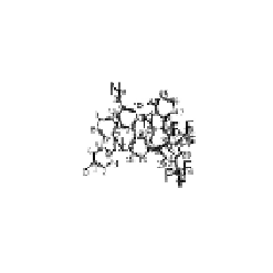 Cc1ccc2c(c1)c1ccccc1n2-c1ccc(-c2cc(C(F)(F)F)cc(C(F)(F)F)c2)cc1-c1ccc(C#N)cc1-n1c2ccccc2c2cc(C)ccc21